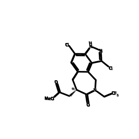 COC(=O)C[C@@H]1Cc2cc(Cl)c3[nH]nc(Cl)c3c2CN(CC(F)(F)F)C1=O